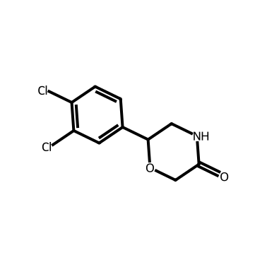 O=C1COC(c2ccc(Cl)c(Cl)c2)CN1